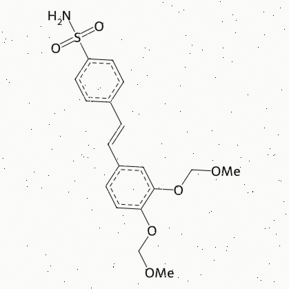 COCOc1ccc(C=Cc2ccc(S(N)(=O)=O)cc2)cc1OCOC